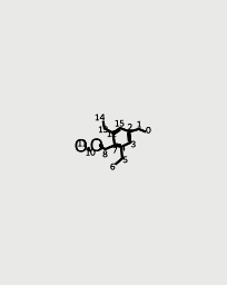 CCc1cc(CC)c(COC=O)c(CC)c1